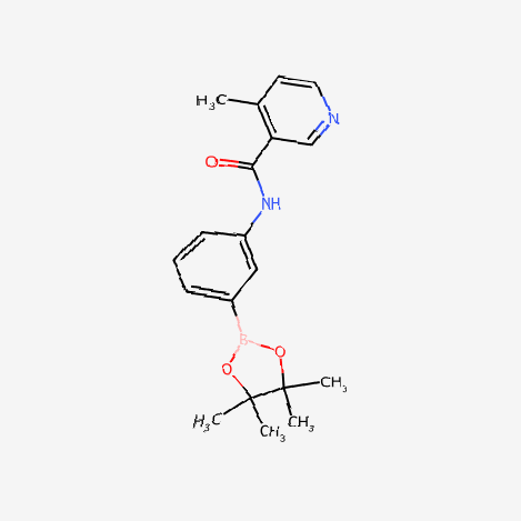 Cc1ccncc1C(=O)Nc1cccc(B2OC(C)(C)C(C)(C)O2)c1